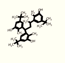 Cc1c(O)cc(C(C)(C)C)cc1C(C)CC(c1cc(C(C)(C)C)cc(O)c1C)c1cc(C(C)(C)C)cc(O)c1C